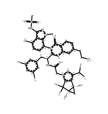 Cn1nc(NS(C)(=O)=O)c2c(Cl)ccc(-n3c([C@H](Cc4cc(F)cc(F)c4)NC(=O)Cn4nc(C(F)F)c5c4C(F)(F)[C@@H]4C[C@H]54)nc4cc(CCC(F)(F)F)ccc4c3=O)c21